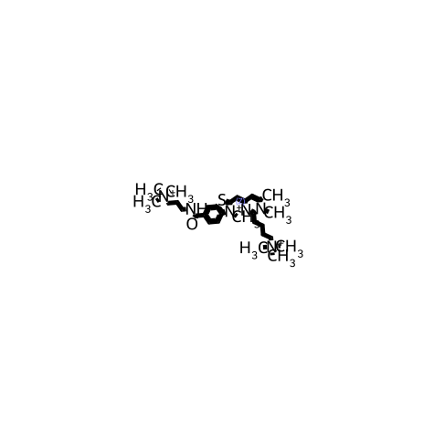 CC1=C/C(=C/c2sc3cc(C(=O)NCCC[N+](C)(C)C)ccc3[n+]2C)N=C(CCCC[N+](C)(C)C)N1C